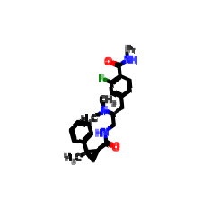 CC(C)NC(=O)c1ccc(C[C@@H](CNC(=O)C2=C[C@]2(C)c2ccccc2)N(C)C)cc1F